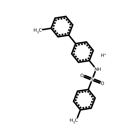 Cc1ccc(S(=O)(=O)Nc2ccc(-c3cccc(C)c3)cc2)cc1.[H+]